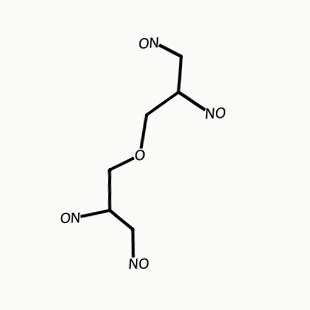 O=NCC(COCC(CN=O)N=O)N=O